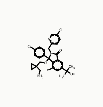 CC(C)(O)c1cc(F)c2c(c1)C(=O)N(Cc1ccc(Cl)cn1)C2(OCC1(CN)CC1)c1ccc(Cl)cc1